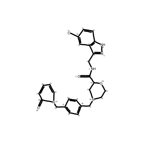 O=C(NCc1n[nH]c2ccc(Cl)cc12)C1CN(Cc2ccc(Cn3ccccc3=O)cc2)CCO1